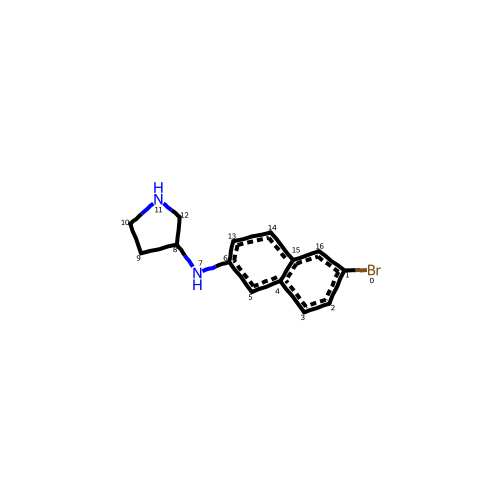 Brc1ccc2cc(NC3CCNC3)ccc2c1